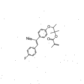 C=C(C)C(=O)OC(C)(C)C(C)Oc1ccc(/C(C#N)=C/c2ccc(F)cc2)cc1